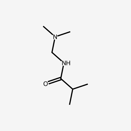 CC(C)C(=O)NCN(C)C